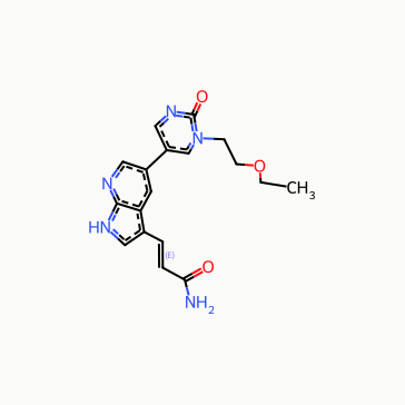 CCOCCn1cc(-c2cnc3[nH]cc(/C=C/C(N)=O)c3c2)cnc1=O